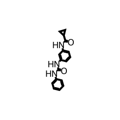 O=C(Nc1ccccc1)Nc1cccc(NC(=O)C2CC2)c1